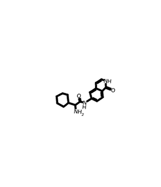 NC(C(=O)Nc1ccc2c(=O)[nH]ccc2c1)C1CCCCC1